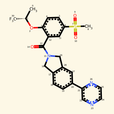 C[C@H](Oc1ccc(S(C)(=O)=O)cc1C(=O)N1Cc2ccc(-c3cnccn3)cc2C1)C(F)(F)F